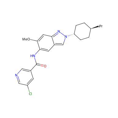 COc1cc2nn([C@H]3CC[C@H](C(C)C)CC3)cc2cc1NC(=O)c1cncc(Cl)c1